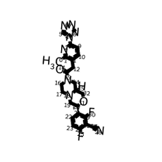 Cc1nc(-n2cnnn2)ccc1CC(=O)N1CCN2C[C@H](c3ccc(F)c(C#N)c3F)OC[C@@H]2C1